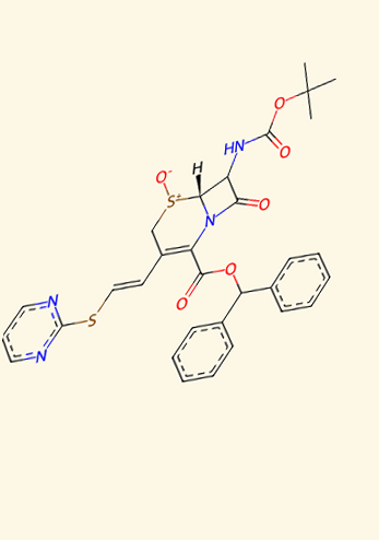 CC(C)(C)OC(=O)NC1C(=O)N2C(C(=O)OC(c3ccccc3)c3ccccc3)=C(/C=C/Sc3ncccn3)C[S+]([O-])[C@H]12